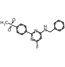 CS(=O)(=O)c1ccc(-c2nc(F)cc(NCc3ccccc3)n2)cc1